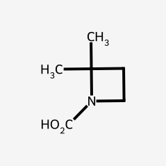 CC1(C)CCN1C(=O)O